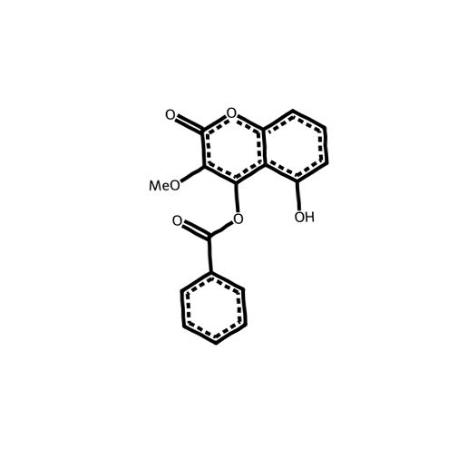 COc1c(OC(=O)c2ccccc2)c2c(O)cccc2oc1=O